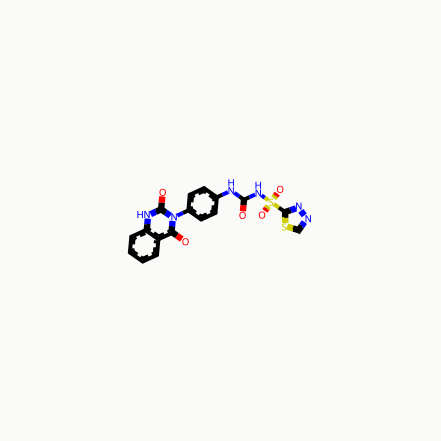 O=C(Nc1ccc(-n2c(=O)[nH]c3ccccc3c2=O)cc1)NS(=O)(=O)c1nn[c]s1